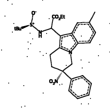 CCOC(=O)C(N[S@+]([O-])C(C)(C)C)c1c2n(c3ccc(C)cc13)C[C@](c1ccccc1)([N+](=O)[O-])CC2